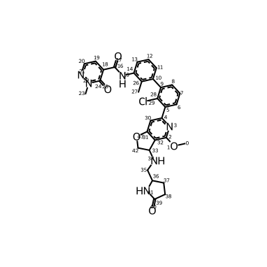 COc1nc(-c2cccc(-c3cccc(NC(=O)c4ccnn(C)c4=O)c3C)c2Cl)cc2c1C(NCC1CCC(=O)N1)CO2